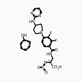 O=C(NC[C@H](N=S(=O)=O)C(=O)O)c1ccc(N2CCC(Nc3ncccn3)CC2)c(F)c1F.Oc1ccccc1